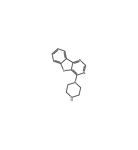 c1ccc2c(c1)sc1c(N3CCNCC3)ncnc12